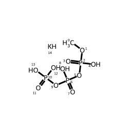 COP(=O)(O)OP(=O)(O)OP(=O)(O)O.[KH]